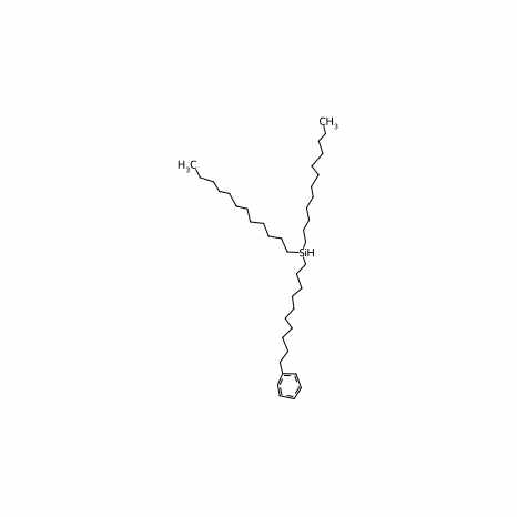 CCCCCCCCCCCC[SiH](CCCCCCCCCCCC)CCCCCCCCCCc1ccccc1